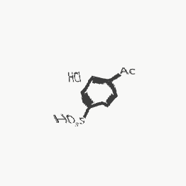 CC(=O)c1ccc(S(=O)(=O)O)cc1.Cl